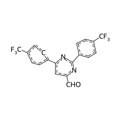 O=Cc1cc(-c2ccc(C(F)(F)F)cc2)nc(-c2ccc(C(F)(F)F)cc2)n1